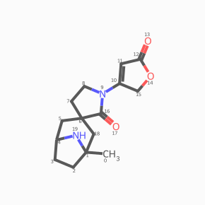 CC12CCC(CC3(CCN(C4=CC(=O)OC4)C3=O)C1)N2